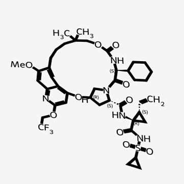 C=C[C@@H]1C[C@]1(NC(=O)[C@@H]1C[C@@H]2CN1C(=O)[C@H](C1CCCCC1)NC(=O)OCC(C)(C)CCCc1cc3c(cc(OCC(F)(F)F)nc3cc1OC)O2)C(=O)NS(=O)(=O)C1CC1